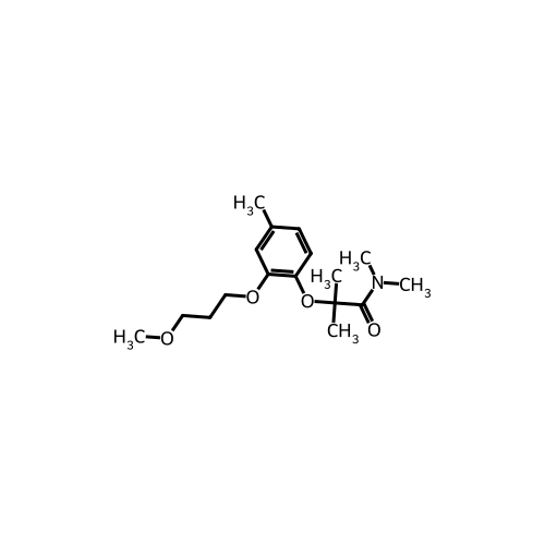 COCCCOc1cc(C)ccc1OC(C)(C)C(=O)N(C)C